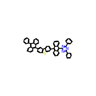 c1ccc(-c2nc(-c3ccccc3)nc(-c3c4ccccc4c(-c4ccc5c(c4)sc4ccc(-c6c7ccccc7c(-c7ccccc7)c7ccccc67)cc45)c4ccccc34)n2)cc1